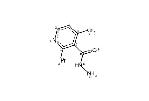 CC(C)c1nccc(C(F)(F)F)c1C(=O)NN